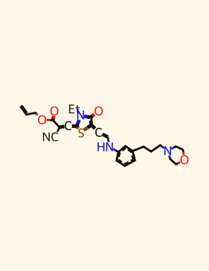 C=CCOC(=O)C(=C=c1sc(=C=CNc2cccc(CCCN3CCOCC3)c2)c(=O)n1CC)C#N